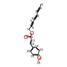 CC#CC#CC#CCOC(=O)C=Cc1ccc(OC)cc1